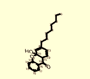 CCCCCCCCC1=CC2(O)Oc3ccccc3C(=O)C2C=C1